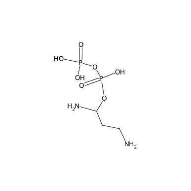 NCCC(N)OP(=O)(O)OP(=O)(O)O